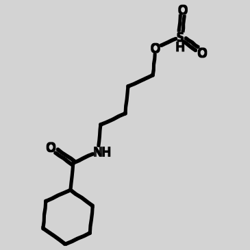 O=C(NCCCCO[SH](=O)=O)C1CCCCC1